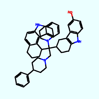 Oc1ccc2[nH]c3c(c2c1)CC(C(CN1CCC(c2ccccc2)CC1)(C1CCCc2ccc4[nH]c5ccccc5c4c21)N1CCCCC1)CC3